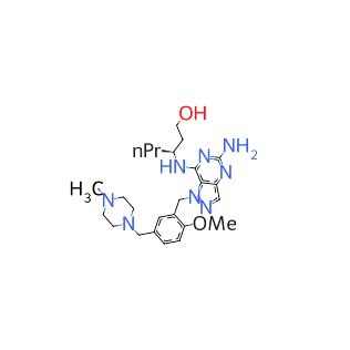 CCC[C@@H](CCO)Nc1nc(N)nc2cnn(Cc3cc(CN4CCN(C)CC4)ccc3OC)c12